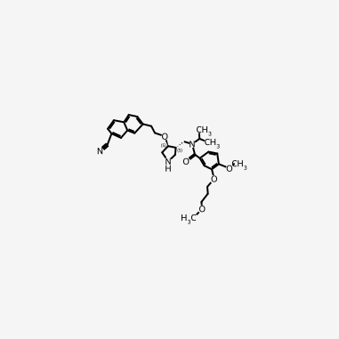 COCCCOc1cc(C(=O)N(C[C@@H]2CNC[C@H]2OCCc2ccc3ccc(C#N)cc3c2)C(C)C)ccc1OC